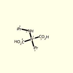 CC(C)N[N+](C(=O)O)(C(=O)O)C(C)C